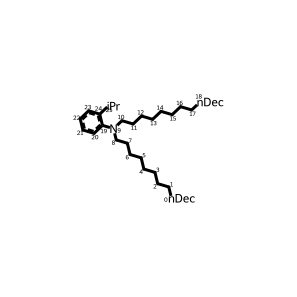 CCCCCCCCCCCCCCCCCCN(CCCCCCCCCCCCCCCCCC)c1ccccc1C(C)C